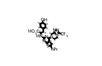 CCCc1cc2c(N3CCn4c(nnc4C(F)(F)F)C3)nc(NC(Cc3ccc(O)cc3)C(=O)O)nc2s1